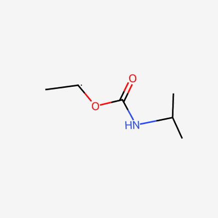 C[CH]OC(=O)NC(C)C